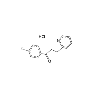 Cl.O=C(CCc1ccccn1)c1ccc(F)cc1